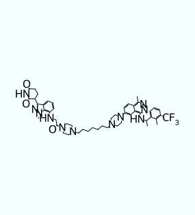 Cc1c(C(C)Nc2nnc(C)c3ccc(N4CCN(CCCCCCCN5CCN(C(=O)CNc6cccc7c(C8CCC(=O)NC8=O)nn(C)c67)CC5)CC4)cc23)cccc1C(F)(F)F